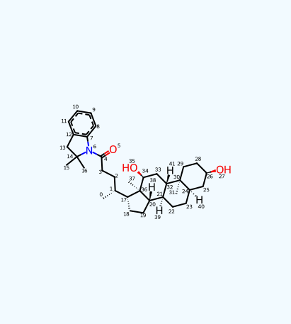 C[C@H](CCC(=O)N1c2ccccc2CC1(C)C)[C@H]1CC[C@H]2[C@@H]3CC[C@@H]4C[C@H](O)CC[C@]4(C)[C@H]3C[C@H](O)[C@]12C